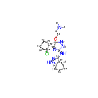 CN(C)CCOc1nnc(Nc2n[nH]c3ccccc23)nc1-c1ccccc1Cl